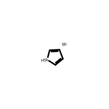 C1=[CH][SbH][CH]=C1.[Sb]